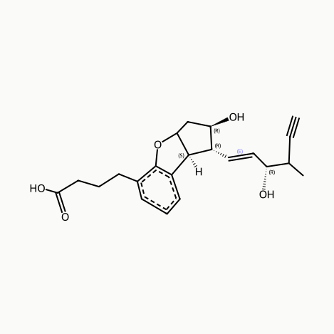 C#CC(C)[C@H](O)/C=C/[C@H]1[C@H](O)CC2Oc3c(CCCC(=O)O)cccc3[C@@H]21